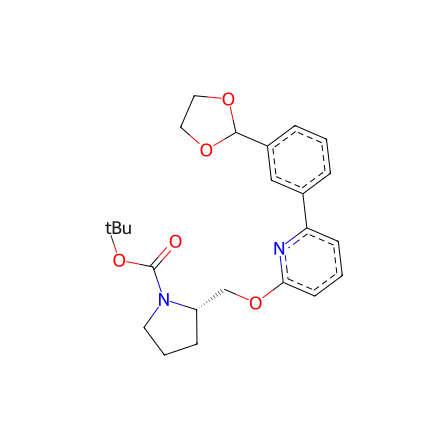 CC(C)(C)OC(=O)N1CCC[C@H]1COc1cccc(-c2cccc(C3OCCO3)c2)n1